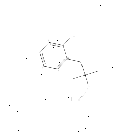 CC(C)(Cc1ccccc1S)O[SiH3]